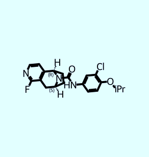 CC(C)Oc1ccc(NC(=O)N2[C@H]3CC[C@@H]2c2ccnc(F)c2C3)cc1Cl